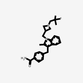 Cc1c(Cc2ccc(C(N)=O)cc2)c2ccccc2n1CC1CN(CC(C)(C)F)C1